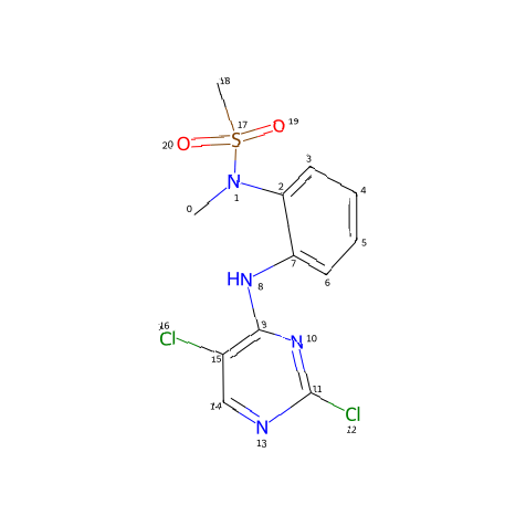 CN(c1ccccc1Nc1nc(Cl)ncc1Cl)S(C)(=O)=O